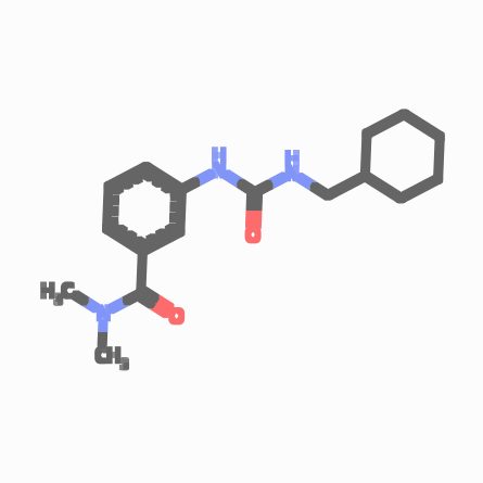 CN(C)C(=O)c1cccc(NC(=O)NCC2CCCCC2)c1